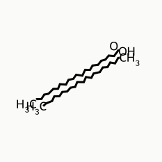 CCCCCCCCCCCCCCCCCCCCC.CCCCCCCCCCCCCCCCCCCCCC(=O)O